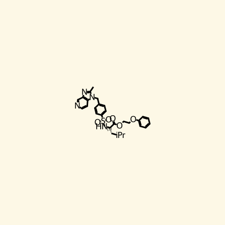 Cc1nc2cnccc2n1Cc1ccc(S(=O)(=O)N[C@@H](CC(C)C)C(=O)OCCOc2ccccc2)cc1